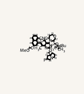 COCOc1cc(-c2oc(=O)c3c(N4CCCOC[C@@H]4CO[Si](C)(C)C(C)(C)C)nc(OC[C@@]45CCCN4C[C@H](F)C5)nc3c2C)c2c(C#N)cccc2c1